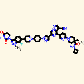 CCC1(C(=O)NC2CCC2)CCN(c2ccc(-c3nc(-c4cnn(C5CCC(N6CCC(c7ccc8c(N9CCC(=O)NC9=O)nn(C)c8c7F)CC6)CC5)c4)cn4ncc(C#N)c34)cn2)CC1